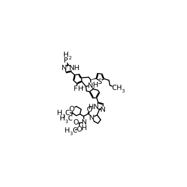 CCCc1ccc([C@@H]2Cc3cc(-c4cnc(P)[nH]4)cc(F)c3[C@@H]3CC4=CC(c5cnc(C6CCCN6C(=O)C(NC(=O)OC)C6CCOC(C)(C)C6)[nH]5)=CC[C@@H]4N23)s1